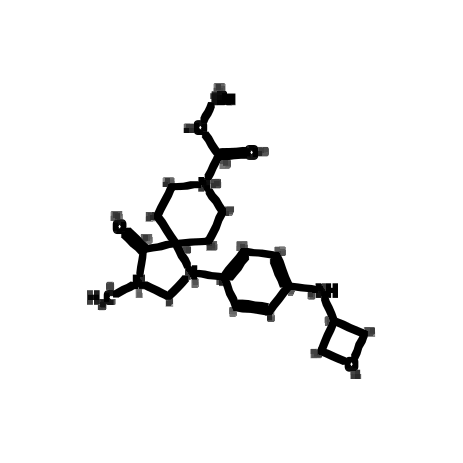 CN1CN(c2ccc(NC3COC3)cc2)C2(CCN(C(=O)OC(C)(C)C)CC2)C1=O